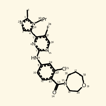 Cc1ncc(-c2nc(Nc3ccc(C(=O)N4CCCOCC4)c(Cl)c3)ncc2F)n1C(C)C